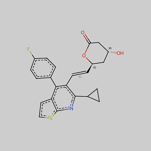 O=C1C[C@H](O)C[C@@H](/C=C/c2c(C3CC3)nc3sccc3c2-c2ccc(F)cc2)O1